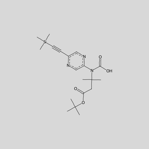 CC(C)(C)OC(=O)CC(C)(C)N(C(=O)O)c1cnc(C#C[Si](C)(C)C)cn1